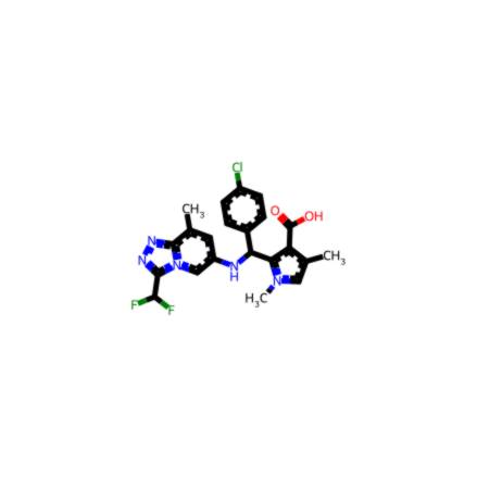 Cc1cn(C)c(C(Nc2cc(C)c3nnc(C(F)F)n3c2)c2ccc(Cl)cc2)c1C(=O)O